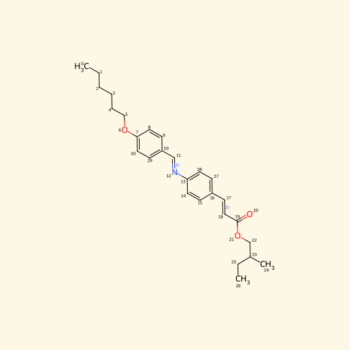 CCCCCCOc1ccc(/C=N/c2ccc(/C=C/C(=O)OCC(C)CC)cc2)cc1